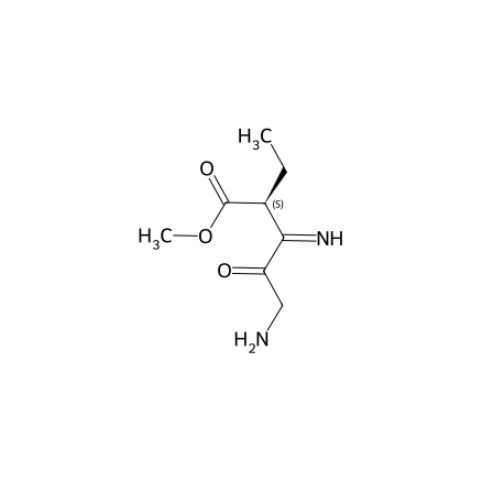 CC[C@@H](C(=N)C(=O)CN)C(=O)OC